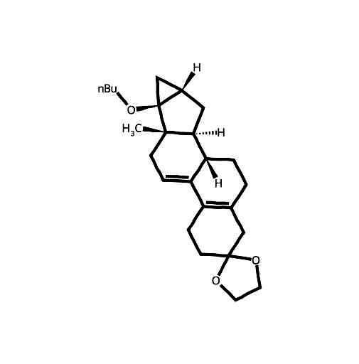 CCCCO[C@@]12C[C@@H]1C[C@H]1[C@@H]3CCC4=C(CCC5(C4)OCCO5)C3=CC[C@@]12C